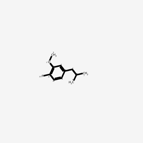 COc1cc(CC(C)C)ccc1F